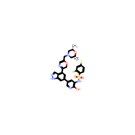 C[C@@H]1CN(CC2=CN=C(c3cc(-c4cnc(O)c(NS(=O)(=O)c5ccc(F)cc5F)c4)cc4[nH]ncc34)CO2)C[C@H](C)O1